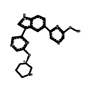 CC(C)Oc1cncc(-c2ccc3[nH]cc(-c4cncc(O[C@@H]5CCCNC5)n4)c3c2)n1